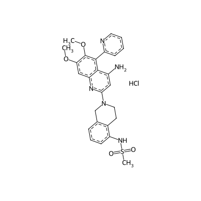 COc1cc2nc(N3CCc4c(cccc4NS(C)(=O)=O)C3)cc(N)c2c(-c2ccccn2)c1OC.Cl